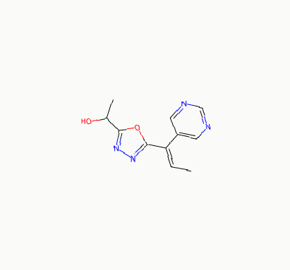 C/C=C(\c1cncnc1)c1nnc(C(C)O)o1